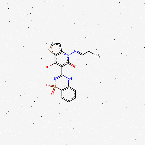 CCC=Nn1c(=O)c(C2=NS(=O)(=O)c3ccccc3N2)c(O)c2sccc21